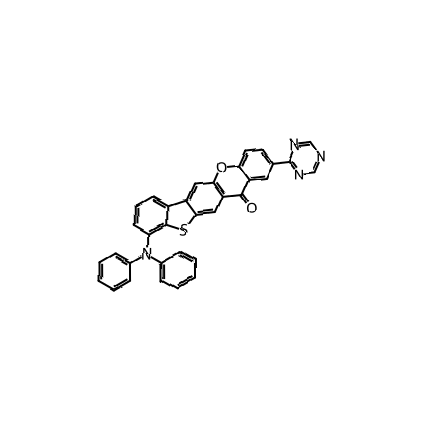 O=c1c2cc(-c3ncncn3)ccc2oc2cc3c(cc12)sc1c(N(c2ccccc2)c2ccccc2)cccc13